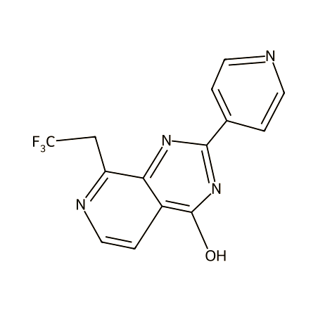 Oc1nc(-c2ccncc2)nc2c(CC(F)(F)F)nccc12